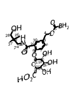 BC(=O)OCc1ccc(O[C@@H]2O[C@H](C(=O)O)[C@@H](O)[C@H](O)[C@H]2O)c(C(=O)NCC(C)(C)CO)c1